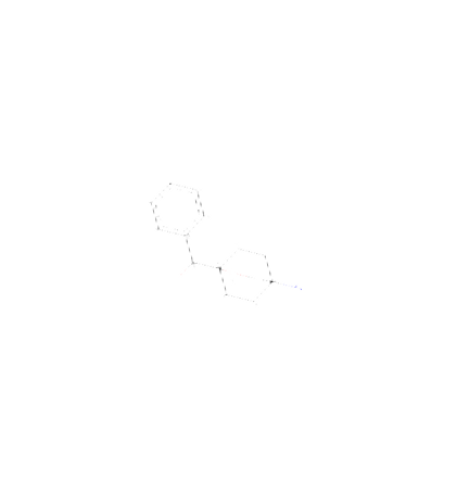 Cl.NC12CCC(C(O)c3ccccc3)(CC1)OC2